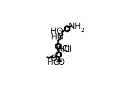 CCCOc1cc(-c2ccc(CCNC[C@@H](O)c3ccc(N)cc3)cc2)ccc1C(=O)O.Cl.Cl